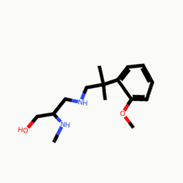 CNC(CO)CNCC(C)(C)c1ccccc1OC